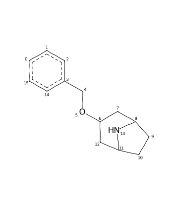 c1ccc(COC2CC3CCC(C2)N3)cc1